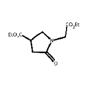 CCOC(=O)CN1CC(C(=O)OCC)CC1=O